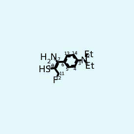 CCN(CC)c1ccc(/C(N)=C(/S)CF)cc1